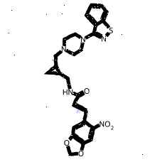 O=C(/C=C/c1cc2c(cc1[N+](=O)[O-])OCO2)NCC1CC1CN1CCN(c2nsc3ccccc23)CC1